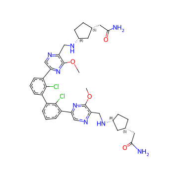 COc1nc(-c2cccc(-c3cccc(-c4cnc(CN[C@@H]5CC[C@H](CC(N)=O)C5)c(OC)n4)c3Cl)c2Cl)cnc1CN[C@@H]1CC[C@H](CC(N)=O)C1